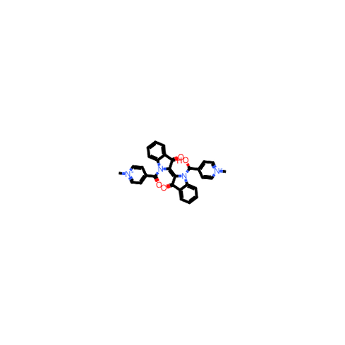 C[n+]1ccc(C(=O)N2/C(=C3\C(=O)c4ccccc4N3C(O)c3cc[n+](C)cc3)C(=O)c3ccccc32)cc1